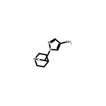 Nc1cnn(C2CN3CCC2CC3)c1